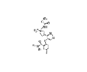 CCN(C(=O)c1cc(F)ccc1Oc1cncnc1N1CCC(C)(CNC(=O)OC(C)(C)C)C1)C(C)C